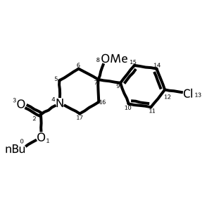 CCCCOC(=O)N1CCC(OC)(c2ccc(Cl)cc2)CC1